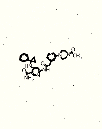 CC(=O)N1CCN(c2cccc(CC(=O)Nc3cc(NC4(c5ccccc5)CC4)c(C(N)=O)cn3)c2)CC1